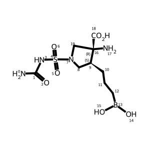 NC(=O)NS(=O)(=O)N1C[C@H](CCCB(O)O)[C@](N)(C(=O)O)C1